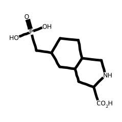 O=C(O)C1CC2CC(CP(=O)(O)O)CCC2CN1